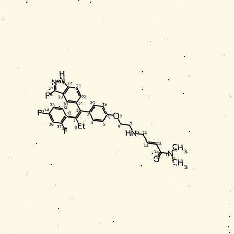 CCC(=C(c1ccc(OCCNCC=CC(=O)N(C)C)cc1)c1ccc2[nH]nc(F)c2c1)c1ccc(F)cc1F